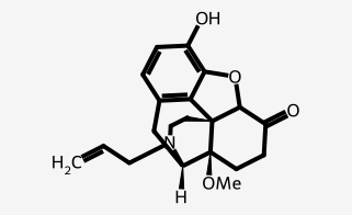 C=CCN1CC[C@@]23c4c5ccc(O)c4OC2C(=O)CC[C@]3(OC)[C@@H]1C5